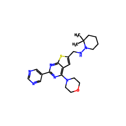 CC1(C)CCCCN1NCc1cc2c(N3CCOCC3)nc(-c3cncnc3)nc2s1